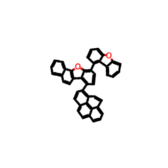 c1ccc2c(c1)ccc1c2oc2c(-c3cccc4oc5ccccc5c34)ccc(-c3ccc4ccc5cccc6ccc3c4c56)c21